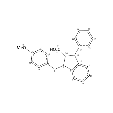 COc1ccc(CC2c3ccccc3C(c3ccccc3)C2C(=O)O)cc1